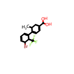 CC1CC(C(O)O)=CC=C1C1=CC=CC(Br)C1C(F)(F)F